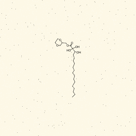 CCCCCCCCCCCCCCCC(O)C(O)(O)C(=O)OCC1COCCO1